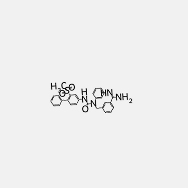 CS(=O)(=O)c1cc(NC(=O)N(Cc2cccc(C(=N)N)c2)c2ccccc2)ccc1-c1ccccc1